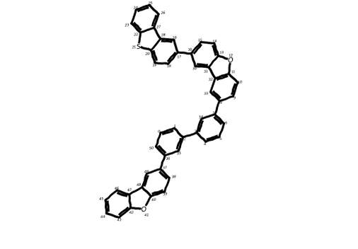 c1cc(-c2cccc(-c3ccc4oc5ccc(-c6ccc7sc8ccccc8c7c6)cc5c4c3)c2)cc(-c2ccc3oc4ccccc4c3c2)c1